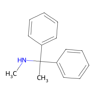 CNC(C)(c1ccccc1)c1ccccc1